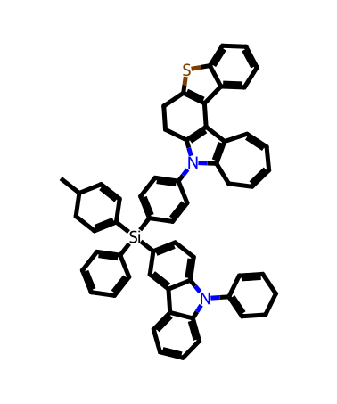 CC1C=CC([Si](c2ccccc2)(c2ccc(-n3c4c(c5c3CCc3sc6ccccc6c3-5)C=CC=CC4)cc2)c2ccc3c(c2)c2ccccc2n3C2=CCCC=C2)=CC1